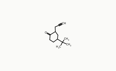 C#CCC1CC(C(C)(C)C)CCC1=O